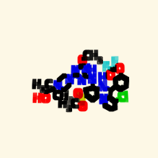 COc1nc(Nc2cc(S(C)(=O)=O)ccc2N[C@@H](c2cccc3c2OC(F)(F)O3)c2ncccc2Cl)nc(N2CCN(C(C)(C)CO)CC2)n1